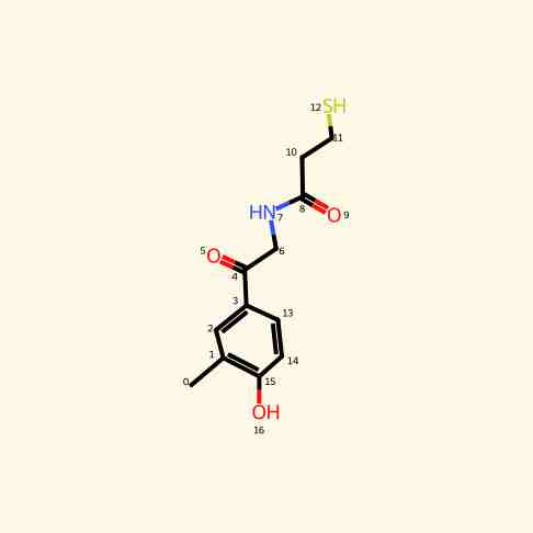 Cc1cc(C(=O)CNC(=O)CCS)ccc1O